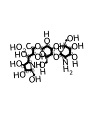 N[C@H]1[C@H](O[C@@H]2[C@H](O)[C@@H](O)[C@@H](O[C@@H](C(=O)O)[C@@H](O)[C@@H](O)[C@H]3N[C@@H](CO)[C@H](O)[C@H]3O)O[C@@H]2CO)O[C@H](CO)[C@H](O)[C@H]1O